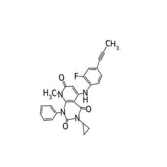 CC#Cc1ccc(Nc2cc(=O)n(C)c3c2c(=O)n(C2CC2)c(=O)n3-c2ccccc2)c(F)c1